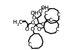 C=CC(=O)OC(OC1CCCCCCCCC1)(OC1CCCCCCCCC1)C(OC1CCCCCCCCC1)C(COO)OO